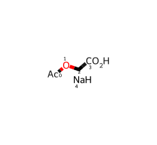 CC(=O)OCC(=O)O.[NaH]